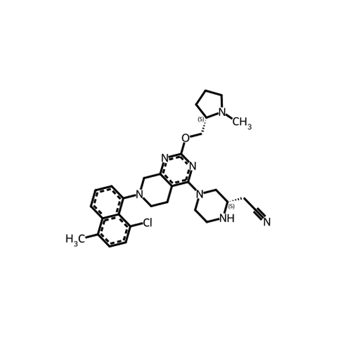 Cc1ccc(Cl)c2c(N3CCc4c(nc(OC[C@@H]5CCCN5C)nc4N4CCN[C@@H](CC#N)C4)C3)cccc12